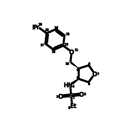 CCS(=O)(=O)N[C@@H]1COC[C@H]1COc1ccc(C(C)C)cc1